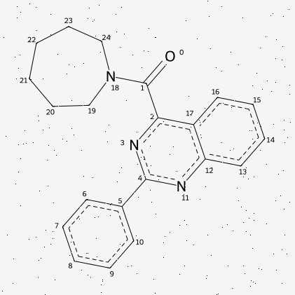 O=C(c1nc(-c2ccccc2)nc2ccccc12)N1CCCCCC1